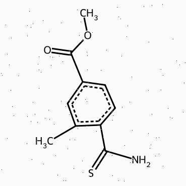 COC(=O)c1ccc(C(N)=S)c(C)c1